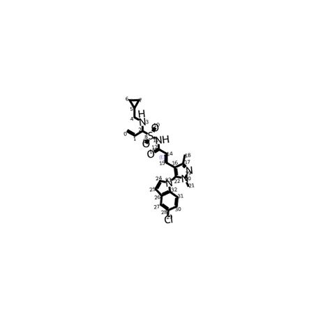 C=CC(NCC1CC1)S(=O)(=O)NC(=O)/C=C/c1c(C)nn(C)c1-n1ccc2cc(Cl)ccc21